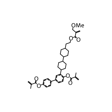 C=C(C)C(=O)Oc1ccc(-c2ccc(OC(=O)C(=C)C)c(C3CCC(C4CCC(CCOC(=O)C(=C)COC)CC4)CC3)c2)cc1